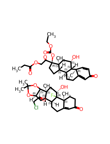 CC1(C)O[C@@H]2C[C@H]3[C@@H]4CCC5=CC(=O)CC[C@]5(C)[C@@]4(F)[C@@H](O)C[C@]3(C)[C@]2(C(=O)CCl)O1.CCOC(=O)O[C@]1(C(=O)COC(=O)CC)CC[C@H]2[C@@H]3CCC4=CC(=O)C=C[C@]4(C)[C@H]3[C@@H](O)C[C@@]21C